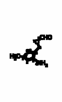 Cc1cc(N)c(COC=O)s1